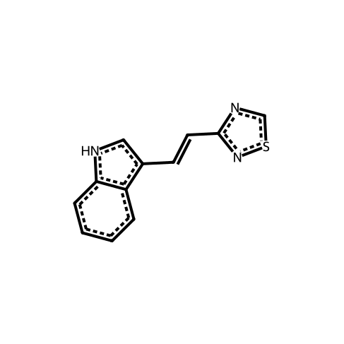 C(=Cc1c[nH]c2ccccc12)c1ncsn1